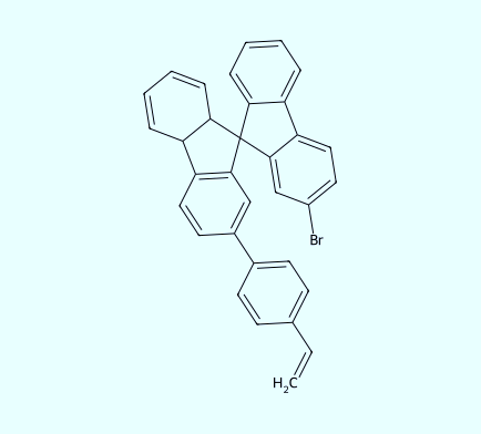 C=Cc1ccc(-c2ccc3c(c2)C2(c4ccccc4-c4ccc(Br)cc42)C2C=CC=CC32)cc1